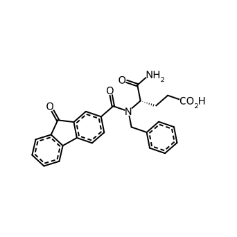 NC(=O)[C@H](CCC(=O)O)N(Cc1ccccc1)C(=O)c1ccc2c(c1)C(=O)c1ccccc1-2